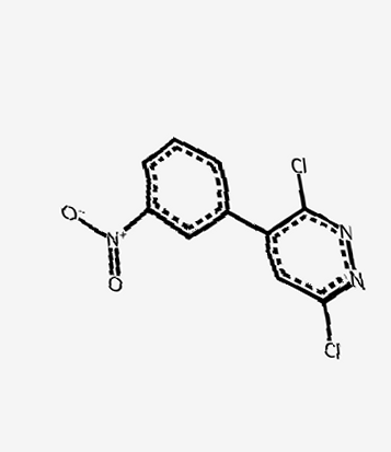 O=[N+]([O-])c1cccc(-c2cc(Cl)nnc2Cl)c1